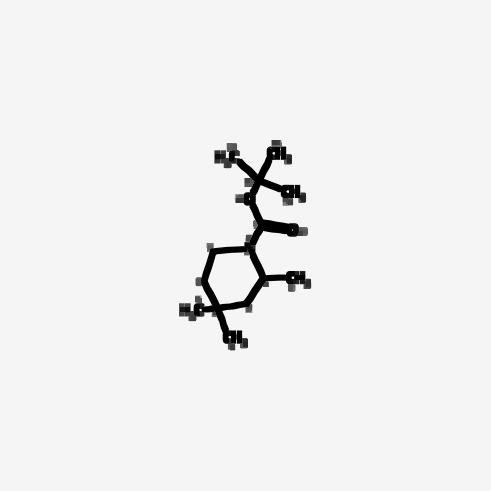 CC1CC(C)(C)CCN1C(=O)OC(C)(C)C